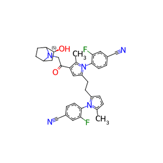 Cc1ccc(CCc2cc(C(=O)CN3C4CCC3[C@@H](O)C4)c(C)n2-c2ccc(C#N)cc2F)n1-c1ccc(C#N)cc1F